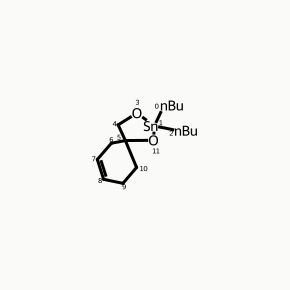 CCC[CH2][Sn]1([CH2]CCC)[O]CC2(CC=CCC2)[O]1